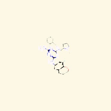 CCN1CCCC1CN(CC1CCCCC1)c1nc(N)nc(Nc2cc(F)c3c(c2)CCCO3)n1